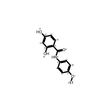 CCOc1ccc(NC(=O)c2ccc(O)cc2O)cc1